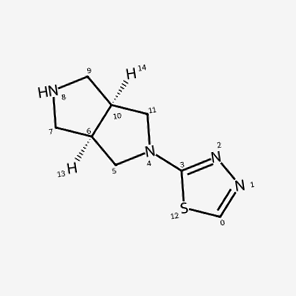 c1nnc(N2C[C@H]3CNC[C@H]3C2)s1